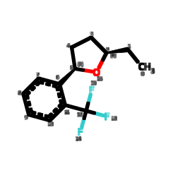 CC[C@@H]1CC[C@H](c2ccccc2C(F)(F)F)O1